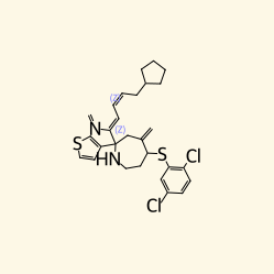 C=N/C(=C\C=C/CC1CCCC1)C1(c2ccsc2)CC(=C)C(Sc2cc(Cl)ccc2Cl)CCN1